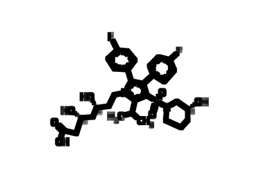 CC(C)c1c(S(=O)(=O)N2CCC[C@@H](O)C2)c(-c2ccc(F)cc2)c(-c2ccc(F)cc2)n1CC[C@@H](O)C[C@@H](O)CC(=O)O